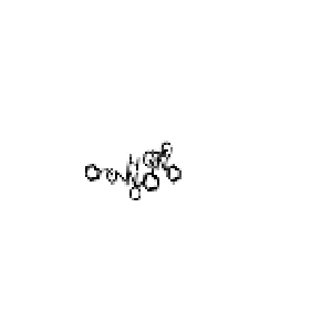 O=C(NCCOCc1ccccc1)c1cccc(C2OCC(=O)N2c2ccccc2)c1